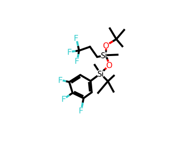 CC(C)(C)O[Si](C)(CCC(F)(F)F)O[Si](C)(c1cc(F)c(F)c(F)c1)C(C)(C)C